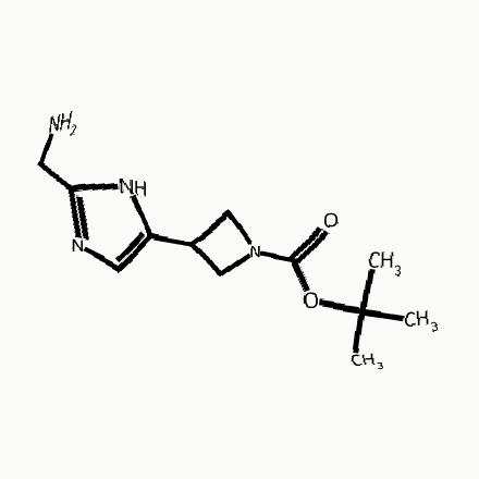 CC(C)(C)OC(=O)N1CC(c2cnc(CN)[nH]2)C1